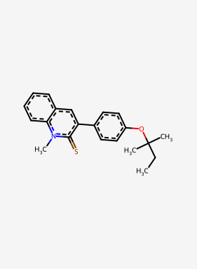 CCC(C)(C)Oc1ccc(-c2cc3ccccc3n(C)c2=S)cc1